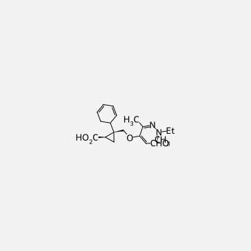 CCN(C)/N=C(C)\C(=C/C=O)OC[C@@]1(C2C=CC=CC2)C[C@H]1C(=O)O